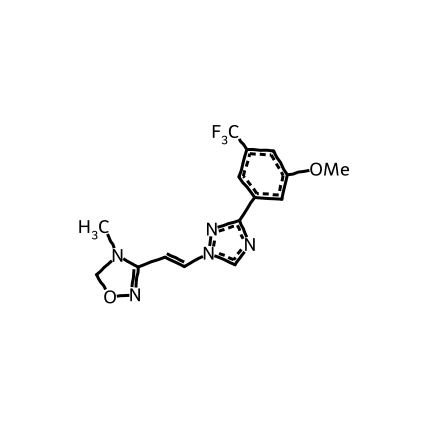 COc1cc(-c2ncn(C=CC3=NOCN3C)n2)cc(C(F)(F)F)c1